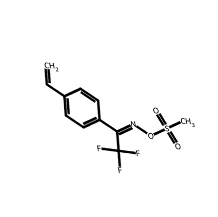 C=Cc1ccc(/C(=N/OS(C)(=O)=O)C(F)(F)F)cc1